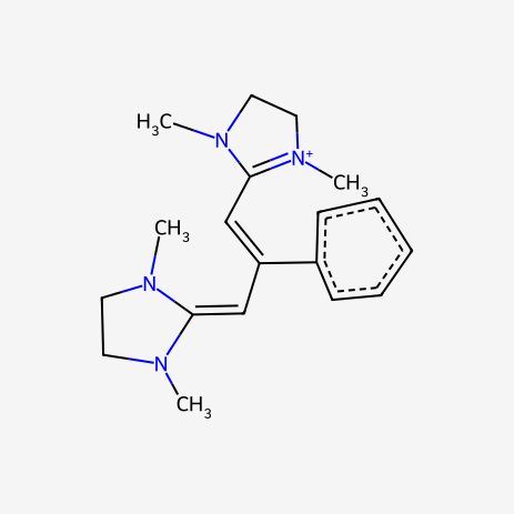 CN1CCN(C)C1=C/C(=C/C1=[N+](C)CCN1C)c1ccccc1